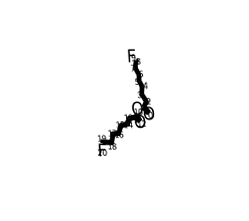 O=C(CCCCCCCF)OC(=O)CCCCCCCF